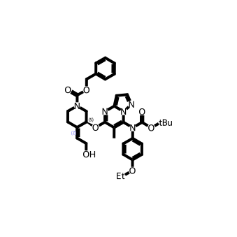 CCOc1ccc(N(C(=O)OC(C)(C)C)c2c(C)c(O[C@@H]3CN(C(=O)OCc4ccccc4)CC/C3=C/CO)nc3ccnn23)cc1